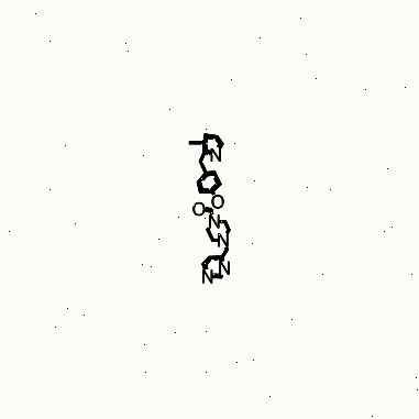 Cc1cccnc1Cc1ccc(OC(=O)N2CCN(Cc3ccncn3)CC2)cc1